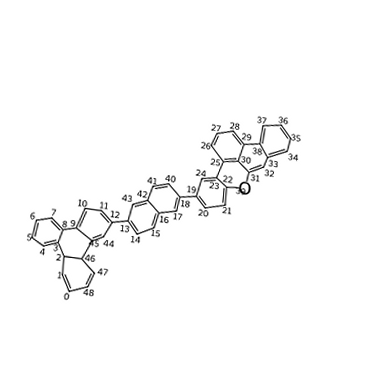 C1=CC2c3ccccc3-c3ccc(-c4ccc5cc(-c6ccc7c(c6)-c6cccc8c6c(cc6ccccc68)O7)ccc5c4)cc3C2C=C1